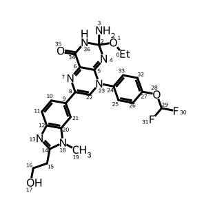 CCOC1(N)N=C2C(=NC(c3ccc4nc(CCO)n(C)c4c3)=CN2c2ccc(OC(F)F)cc2)C(=O)N1